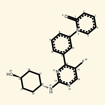 O=c1ccccn1-c1cccc(-c2nc(N[C@H]3CC[C@H](O)CC3)ncc2F)c1